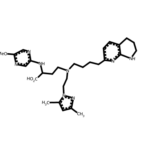 COc1cnc(NC(CCN(CCCCc2ccc3c(n2)NCCC3)CCn2nc(C)cc2C)C(=O)O)cn1